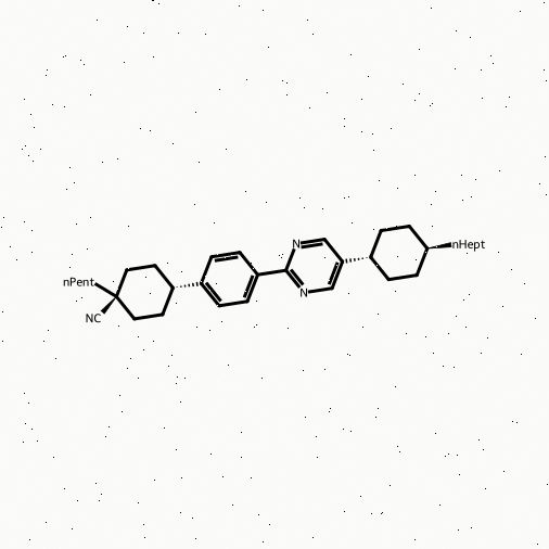 CCCCCCC[C@H]1CC[C@H](c2cnc(-c3ccc([C@H]4CC[C@@](C#N)(CCCCC)CC4)cc3)nc2)CC1